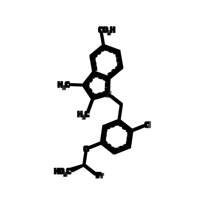 Cc1c(C)n(Cc2cc(O[C@H](C(=O)O)C(C)C)ccc2Cl)c2ccc(C(=O)O)cc12